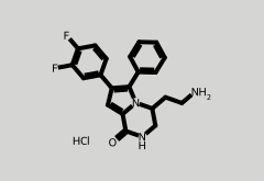 Cl.NCCC1CNC(=O)c2cc(-c3ccc(F)c(F)c3)c(-c3ccccc3)n21